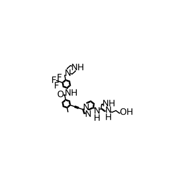 Cc1ccc(C(=O)Nc2ccc(CN3CCNCC3)c(C(F)(F)F)c2)cc1C#Cc1cnc2c(N/C(C=N)=C/NCCCO)cccn12